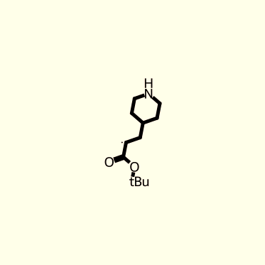 CC(C)(C)OC(=O)[CH]CC1CCNCC1